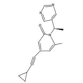 Cc1cc(C#CC2CC2)cc(=O)n1[C@H](C)c1cncnc1